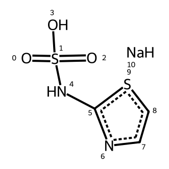 O=S(=O)(O)Nc1nccs1.[NaH]